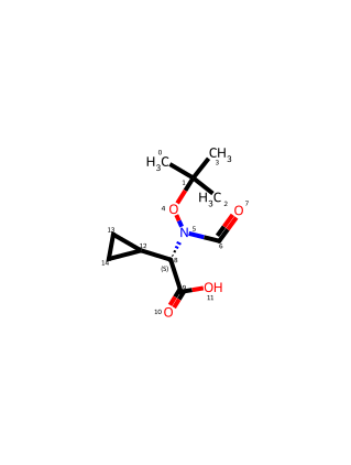 CC(C)(C)ON(C=O)[C@H](C(=O)O)C1CC1